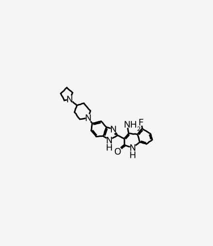 Nc1c(-c2nc3cc(N4CCC(N5CCCC5)CC4)ccc3[nH]2)c(=O)[nH]c2cccc(F)c12